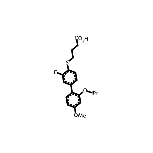 COc1ccc(-c2ccc(SCCCC(=O)O)c(F)c2)c(OC(C)C)c1